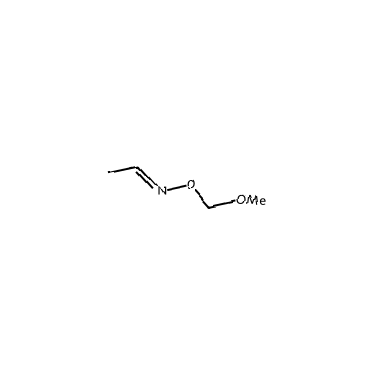 CC=NOCOC